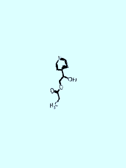 CCC(=O)OCC(O)c1ccncc1